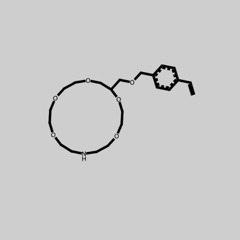 C=Cc1ccc(COCC2COCCOCCOCCNCCOCCO2)cc1